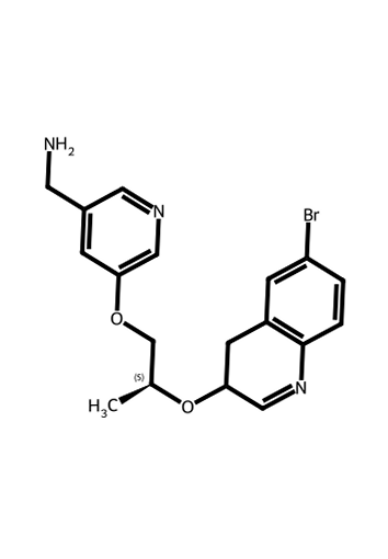 C[C@@H](COc1cncc(CN)c1)OC1C=Nc2ccc(Br)cc2C1